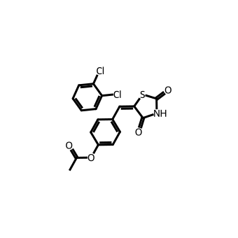 CC(=O)Oc1ccc(C=C2SC(=O)NC2=O)cc1.Clc1ccccc1Cl